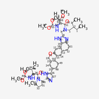 CCC(CC)CN(Cc1nc2ccc3cc4c(cc3c2[nH]1)OCc1cc(-c2cnc([C@@H]3CC[C@H](C)N3C(=O)[C@@H](NC(=O)OC)C(C)C)[nH]2)ccc1-4)C(=O)[C@@H](NC(=O)OC)[C@@H](C)OC